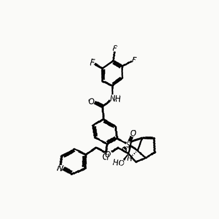 O=C(Nc1cc(F)c(F)c(F)c1)c1ccc(Cl)c(S(=O)(=O)[C@H]2C3CCC2C[C@](O)(COCc2ccncc2)C3)c1